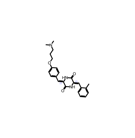 Cc1ccccc1/C=c1\[nH]c(=O)/c(=C/c2ccc(OCCCN(C)C)cc2)[nH]c1=O